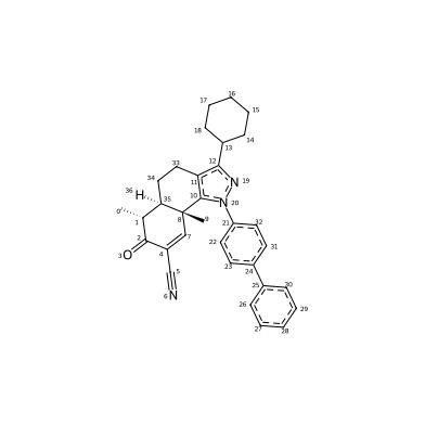 C[C@H]1C(=O)C(C#N)=C[C@@]2(C)c3c(c(C4CCCCC4)nn3-c3ccc(-c4ccccc4)cc3)CC[C@H]12